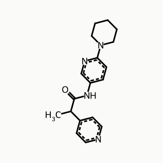 CC(C(=O)Nc1ccc(N2CCCCC2)nc1)c1ccncc1